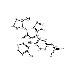 CC(C)(C)c1ccccc1.O=C(NC1CCCC1O)c1[nH]c2ncc(N=S(=O)=O)cc2c1-c1ccco1